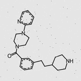 O=C(c1cccc(CCC2CCNCC2)c1)N1CCN(c2ccccn2)CC1